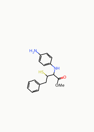 COC(=O)C(Nc1ccc(N)cc1)C(S)Cc1ccccc1